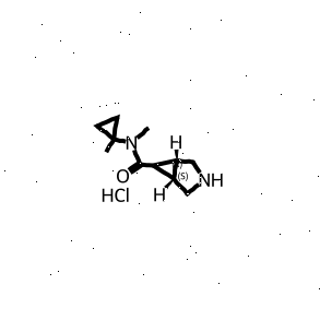 CN(C(=O)C1[C@H]2CNC[C@@H]12)C1(C)CC1.Cl